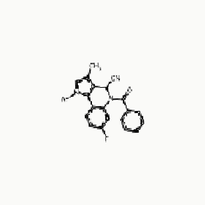 CC(=O)n1cc(C)c2c1-c1ccc(F)cc1N(C(=O)c1ccccc1)C2C#N